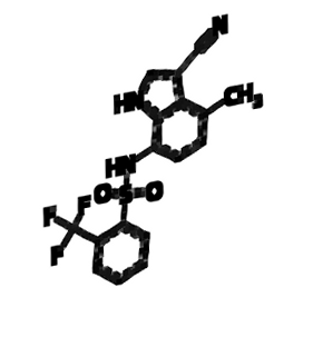 Cc1ccc(NS(=O)(=O)c2ccccc2C(F)(F)F)c2[nH]cc(C#N)c12